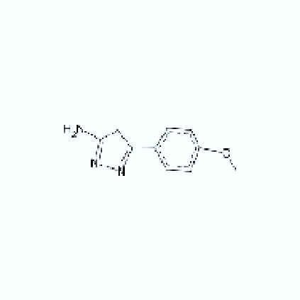 COc1ccc(C2=NN=C(N)C2)cc1